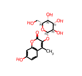 Cc1c(O[C@@H]2O[C@H](CO)[C@H](O)[C@H](O)[C@H]2O)c(=O)oc2cc(O)ccc12